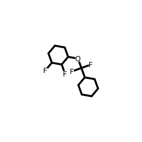 FC1CCCC(OC(F)(F)C2CCCCC2)C1F